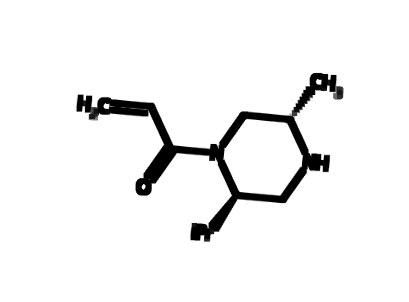 C=CC(=O)N1C[C@H](C)NC[C@H]1C(C)C